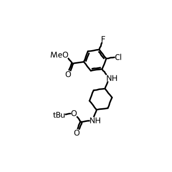 COC(=O)c1cc(F)c(Cl)c(NC2CCC(NC(=O)OC(C)(C)C)CC2)c1